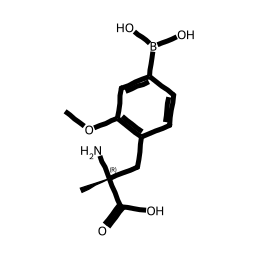 COc1cc(B(O)O)ccc1C[C@@](C)(N)C(=O)O